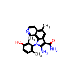 Cc1ccc(O)c(C)c1-n1c(N)c(C(N)=O)c2cc(C)c3ccncc3c21